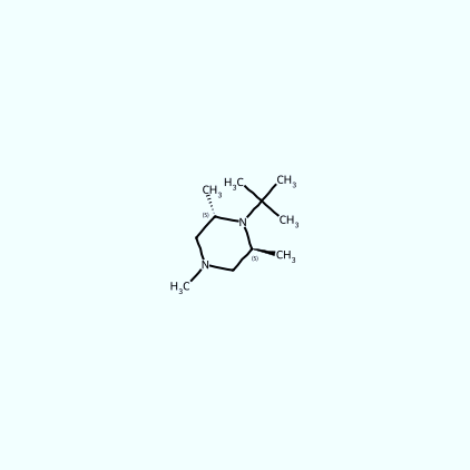 C[C@H]1CN(C)C[C@H](C)N1C(C)(C)C